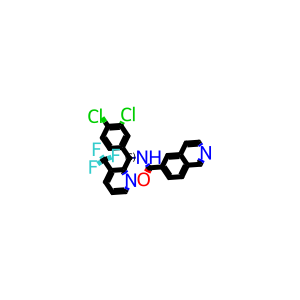 O=C(N[C@@H](c1ccc(Cl)c(Cl)c1)c1ncccc1C(F)(F)F)c1ccc2cnccc2c1